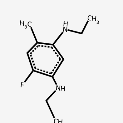 CCNc1cc(NCC)c(F)cc1C